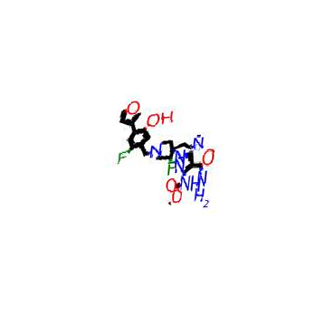 C/N=C\CC1(n2cc(C(N)=O)c(NC(=O)OC)n2)CCN(Cc2cc(O)c(-c3ccoc3)cc2F)CC1F